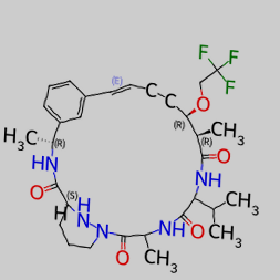 CC1NC(=O)C(C(C)C)NC(=O)[C@H](C)[C@H](OCC(F)(F)F)CC/C=C/c2cccc(c2)[C@@H](C)NC(=O)[C@@H]2CCCN(N2)C1=O